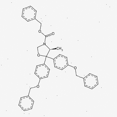 C[C@@H]1N(C(=O)OCc2ccccc2)COC1(c1ccc(OCc2ccccc2)cc1)c1ccc(OCc2ccccc2)cc1